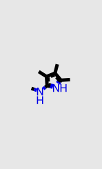 CNc1[nH]c(C)c(C)c1C